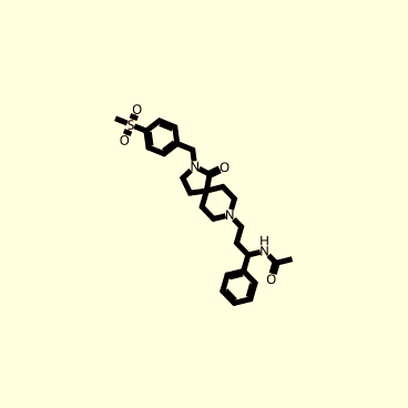 CC(=O)NC(CCN1CCC2(CC1)CCN(Cc1ccc(S(C)(=O)=O)cc1)C2=O)c1ccccc1